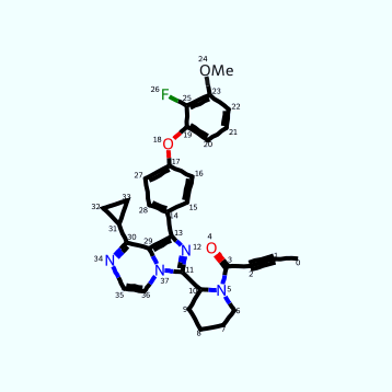 CC#CC(=O)N1CCCCC1c1nc(-c2ccc(Oc3cccc(OC)c3F)cc2)c2c(C3CC3)nccn12